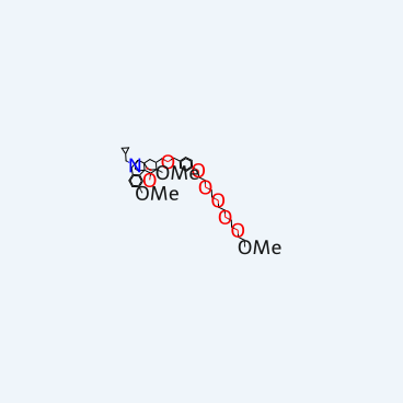 COCCOCCOCCOCCOCCOc1ccc(COCC2CC34CCC2(OC)C2Oc5c(OC)ccc6c5C23CCN(CC2CC2)C4C6)cc1